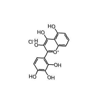 Oc1ccc(-c2[o+]c3cccc(O)c3c(O)c2O)c(O)c1O.[Cl-]